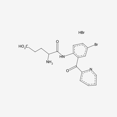 Br.NC(CCC(=O)O)C(=O)Nc1ccc(Br)cc1C(=O)c1ccccn1